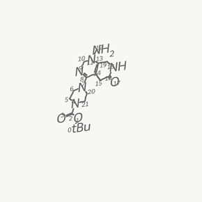 CC(C)(C)OC(=O)N1CCN(C2=NCN(N)C3=C2CC(=O)NC3)CC1